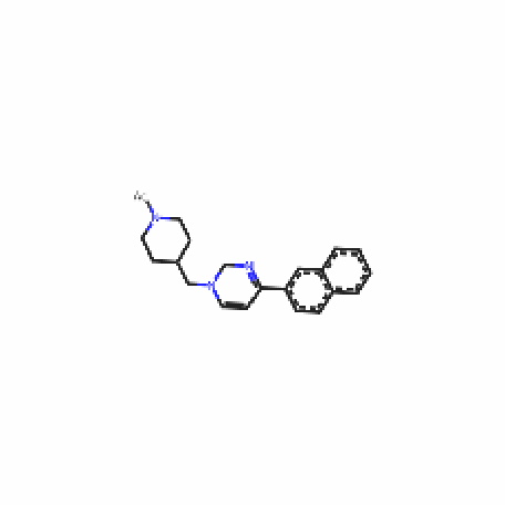 CC(=O)N1CCC(CN2C=CC(c3ccc4ccccc4c3)=NC2)CC1